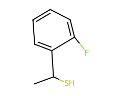 C[C](S)c1ccccc1F